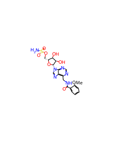 COc1ccccc1C(=O)NCc1ncnc2c1ncn2[C@@H]1O[C@H](COS(N)(=O)=O)[C@@H](O)[C@H]1O